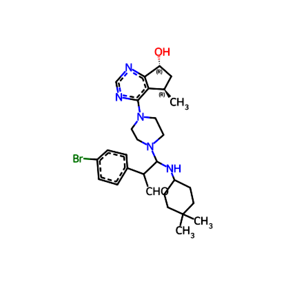 C[C@@H]1C[C@@H](O)c2ncnc(N3CCN(C(NC4CCC(C)(C)CC4)C(C=O)c4ccc(Br)cc4)CC3)c21